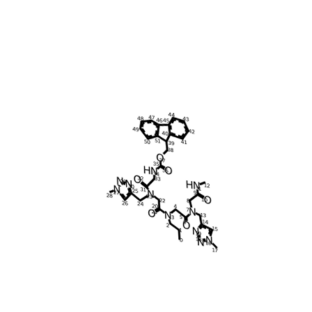 CCCN(CC(=O)N(CC(=O)NC)Cc1cn(C)nn1)C(=O)CN(Cc1cn(C)nn1)C(=O)CNC(=O)OCC1c2ccccc2-c2ccccc21